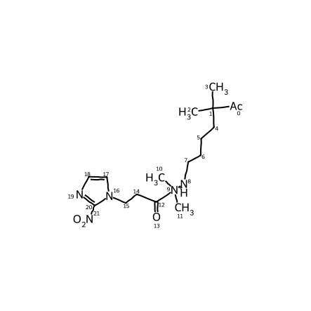 CC(=O)C(C)(C)CCCCN[N+](C)(C)C(=O)CCn1ccnc1[N+](=O)[O-]